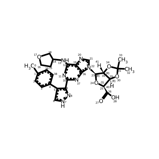 Cc1ccc(-c2c[nH]nc2-c2nc(NC3CCOC3)c3ncn([C@@H]4O[C@H](C(=O)O)[C@@H]5OC(C)(C)O[C@H]54)c3n2)cc1